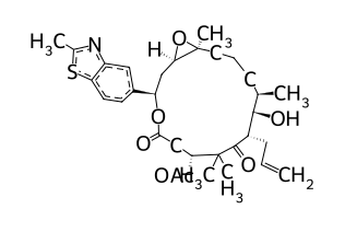 C=CC[C@@H]1C(=O)C(C)(C)[C@H](OC(C)=O)CC(=O)O[C@@H](c2ccc3sc(C)nc3c2)C[C@H]2O[C@@]2(C)CCC[C@@H](C)[C@H]1O